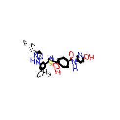 Cc1cc(Nc2nccc(C(F)(F)F)n2)cc(-c2cnc([C@]3(O)CC[C@@H](C(=O)Nc4ccc(O)nc4)CC3)s2)c1